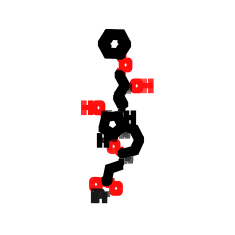 CC(C)OC(=O)CC[C@H]1CCC[C@@H]2[C@@H](C=C[C@@H](O)COc3ccccc3)[C@H](O)C[C@@H]2O1